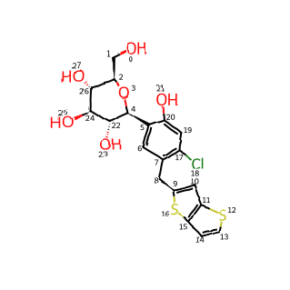 OC[C@H]1O[C@@H](c2cc(Cc3cc4sccc4s3)c(Cl)cc2O)[C@H](O)[C@@H](O)[C@@H]1O